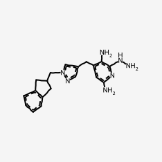 NNc1nc(N)cc(Cc2cnn(CC3Cc4ccccc4C3)c2)c1N